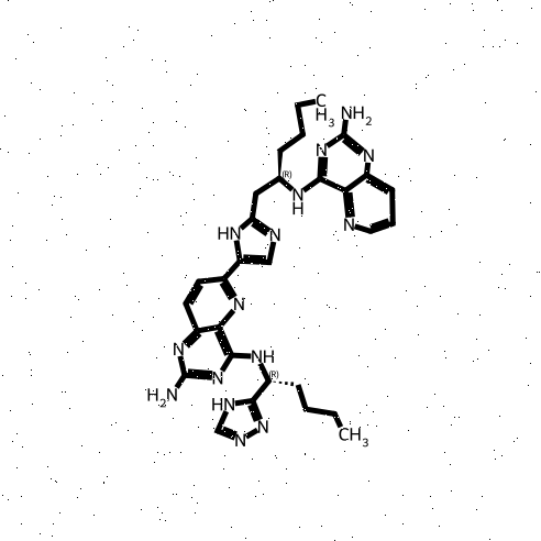 CCCC[C@H](Cc1ncc(-c2ccc3nc(N)nc(N[C@H](CCCC)c4nnc[nH]4)c3n2)[nH]1)Nc1nc(N)nc2cccnc12